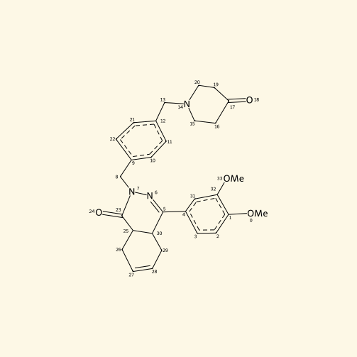 COc1ccc(C2=NN(Cc3ccc(CN4CCC(=O)CC4)cc3)C(=O)C3CC=CCC23)cc1OC